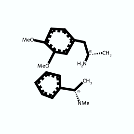 CN[C@@H](C)c1ccccc1.COc1ccc(C[C@H](C)N)cc1OC